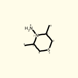 CC1CSCC(C)N1N